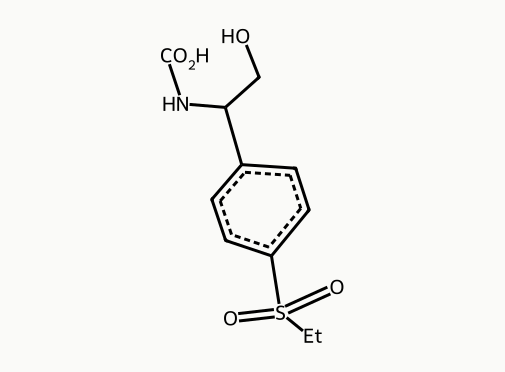 CCS(=O)(=O)c1ccc(C(CO)NC(=O)O)cc1